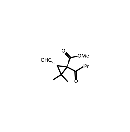 COC(=O)[C@]1(C(=O)C(C)C)[C@@H](C=O)C1(C)C